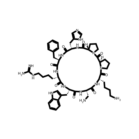 N=C(N)NCCCC[C@@H]1NC(=O)[C@@H](Cc2ccccc2)NC(=O)[C@H](Cc2cnc[nH]2)NC(=O)[C@@H]2CCCN2C(=O)[C@H]2CCCN2C(=O)[C@H](CCCCN)NC(=O)[C@H](CN)NC(=O)[C@H](Cc2c[nH]c3ccccc23)NC1=O